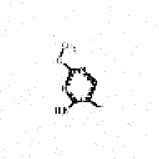 COc1ncc(F)c(N)n1